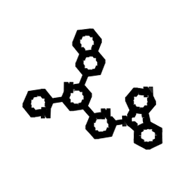 c1ccc(-c2cc(-c3cccc(-n4c5ccccc5c5cnccc54)n3)cc(-c3ccc4ccccc4c3)n2)nc1